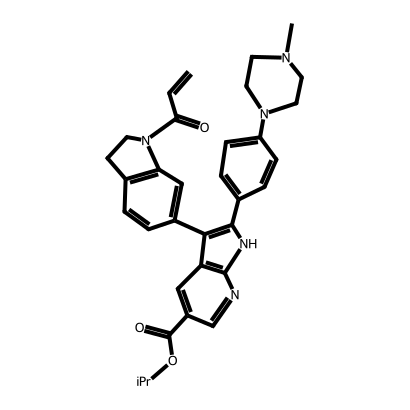 C=CC(=O)N1CCc2ccc(-c3c(-c4ccc(N5CCN(C)CC5)cc4)[nH]c4ncc(C(=O)OC(C)C)cc34)cc21